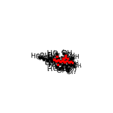 O=C(OCC(O)CO)C(O)C(O)C(O)C(O)C(CC(O)CO)C(CC(O)CO)C(CC(O)CO)C(CC(O)CO)C(CC(O)CO)C(CC(O)CO)C(CC(O)CO)C(CC(O)CO)C(CCCCO)CC(O)CO